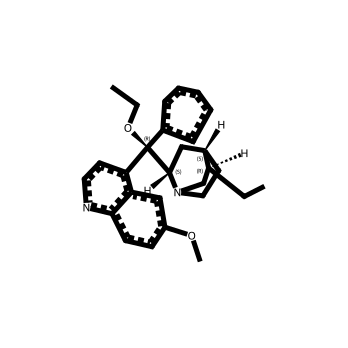 CCO[C@](c1ccccc1)(c1ccnc2ccc(OC)cc12)[C@@H]1C[C@@H]2CCN1C[C@@H]2CC